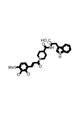 CSc1ccc(/C=C/C(=O)N2CCC(C(=O)N[C@@H](Cc3c[nH]c4ccccc34)C(=O)O)CC2)c(Cl)c1Cl